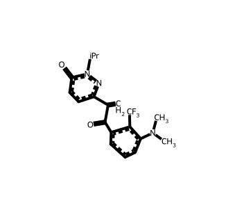 C=C(C(=O)c1cccc(N(C)C)c1C(F)(F)F)c1ccc(=O)n(C(C)C)n1